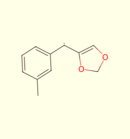 Cc1cccc([CH]C2=COCO2)c1